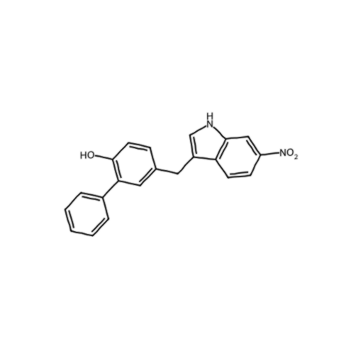 O=[N+]([O-])c1ccc2c(Cc3ccc(O)c(-c4ccccc4)c3)c[nH]c2c1